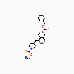 CC(C)(C)OC(=O)N1CCC(=Cc2cccc3c2CCN(C(=O)OCc2ccccc2)C3)CC1